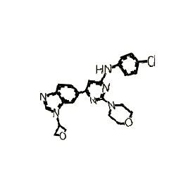 Clc1ccc(Nc2cc(-c3ccc4ncn(C5COC5)c4c3)nc(N3CCOCC3)n2)cc1